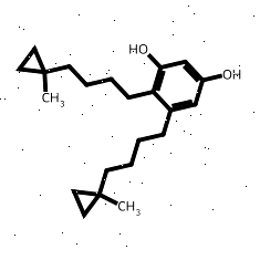 CC1(CCCCc2cc(O)cc(O)c2CCCCC2(C)CC2)CC1